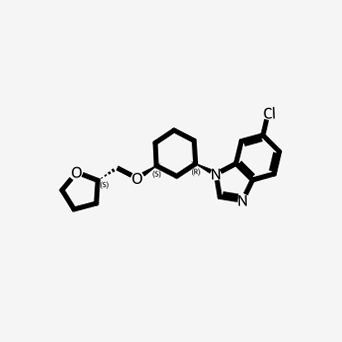 Clc1ccc2ncn([C@@H]3CCC[C@H](OC[C@@H]4CCCO4)C3)c2c1